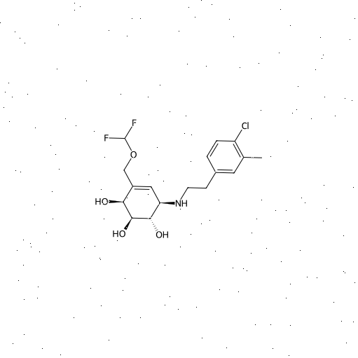 Cc1cc(CCN[C@@H]2C=C(COC(F)F)[C@H](O)[C@H](O)[C@H]2O)ccc1Cl